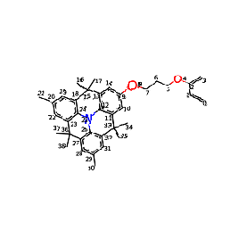 C=CC(=C)OCCCOc1cc2c3c(c1)C(C)(C)c1cc(C)cc4c1N3c1c(cc(C)cc1C2(C)C)C4(C)C